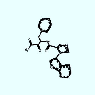 NC(=O)C(=O)C(Cc1ccccc1)NC(=O)c1cncn1-c1coc2ccccc12